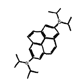 CC(C)B(c1cc2ccc3cc(B(C(C)C)C(C)C)cc4ccc(c1)c2c34)C(C)C